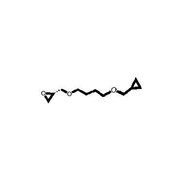 C(CCOC[C@@H]1CO1)COCC1CC1